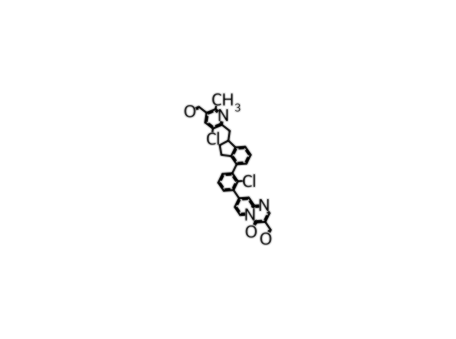 Cc1nc(CC2CCc3c(-c4cccc(-c5ccn6c(=O)c(C=O)cnc6c5)c4Cl)cccc32)c(Cl)cc1C=O